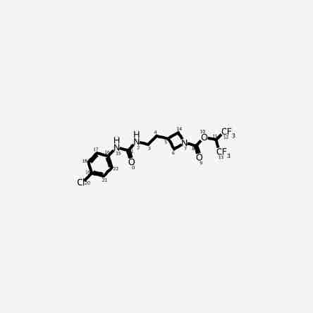 O=C(NCCC1CN(C(=O)OC(C(F)(F)F)C(F)(F)F)C1)Nc1ccc(Cl)cc1